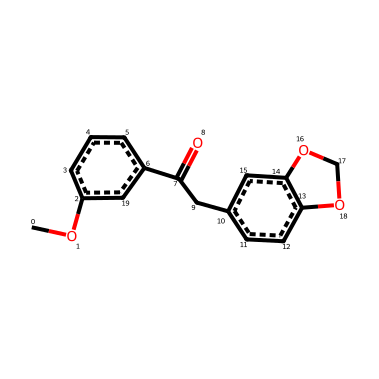 COc1cccc(C(=O)Cc2ccc3c(c2)OCO3)c1